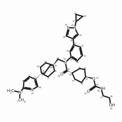 CN(C)c1ccc([C@]23CC[C@@](CN(c4cccc(-c5cnn(C6CC6)c5)c4)C(=O)[C@H]4CC[C@H](OC(=O)NCCO)CC4)(CC2)CC3)cn1